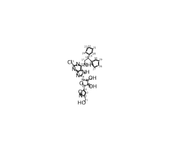 OCc1cc([C@H]2O[C@H](c3nc4nc(Cl)nc(NCC(c5ccccc5)c5ccccc5)c4[nH]3)[C@H](O)[C@@H]2O)on1